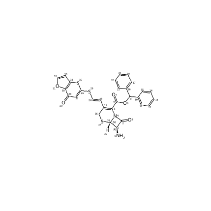 N[C@@H]1C(=O)N2C(C(=O)OC(c3ccccc3)c3ccccc3)=C(C=CSc3cc(=O)c4occc4s3)CS[C@@H]12